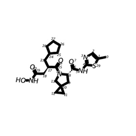 Cc1cnc(NC(=O)[C@@H]2CC3(CC3)CN2C(=O)[C@@H](CC(=O)NO)CC2CCCC2)s1